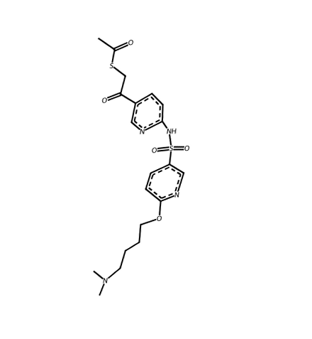 CC(=O)SCC(=O)c1ccc(NS(=O)(=O)c2ccc(OCCCCN(C)C)nc2)nc1